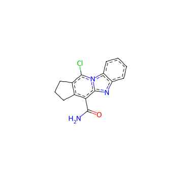 NC(=O)c1c2c(c(Cl)n3c1nc1ccccc13)CCC2